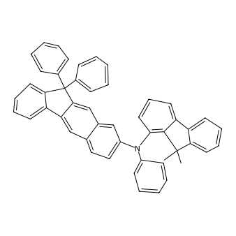 CC1(C)c2ccccc2-c2cccc(N(c3ccccc3)c3ccc4cc5c(cc4c3)C(c3ccccc3)(c3ccccc3)c3ccccc3-5)c21